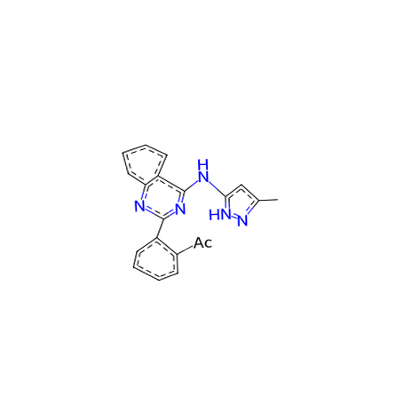 CC(=O)c1ccccc1-c1nc(Nc2cc(C)n[nH]2)c2ccccc2n1